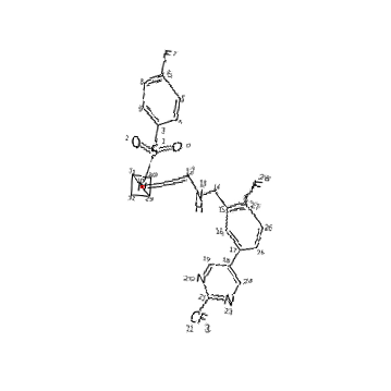 O=S(=O)(c1ccc(F)cc1)N1/C(=C/NCc2cc(-c3cnc(C(F)(F)F)nc3)ccc2F)C2CC1C2